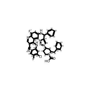 N#Cc1cnc2c(F)cc(NC(c3ccccc3)c3cn(C4CCN(C(=O)O)C(Cc5ccccc5)C4)nn3)cc2c1Nc1ccc(F)c(Cl)c1